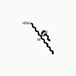 C=CCCC=CCCCCCCCCCCCCCCCCCCCC.C=CCc1ncc[nH]1.I